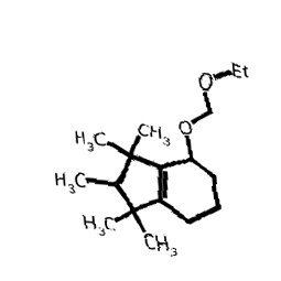 CCOCOC1CCCC2=C1C(C)(C)C(C)C2(C)C